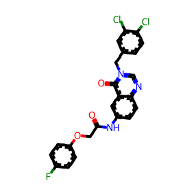 O=C(COc1ccc(F)cc1)Nc1ccc2ncn(Cc3ccc(Cl)c(Cl)c3)c(=O)c2c1